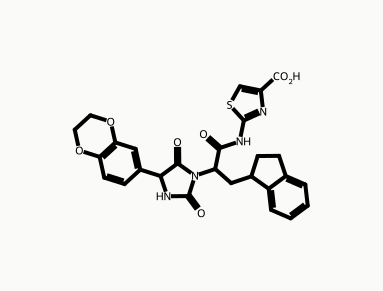 O=C(O)c1csc(NC(=O)C(CC2CCc3ccccc32)N2C(=O)NC(c3ccc4c(c3)OCCO4)C2=O)n1